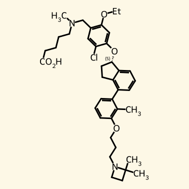 CCOc1cc(O[C@H]2CCc3c(-c4cccc(OCCCN5CCC5(C)C)c4C)cccc32)c(Cl)cc1CN(C)CCCCC(=O)O